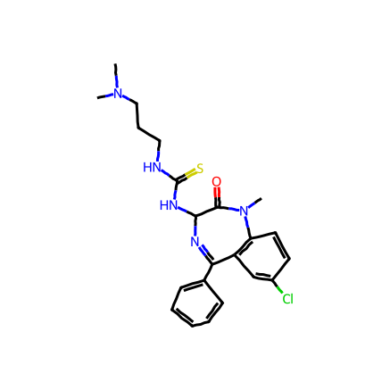 CN(C)CCCNC(=S)NC1N=C(c2ccccc2)c2cc(Cl)ccc2N(C)C1=O